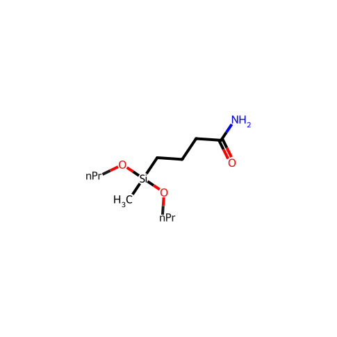 CCCO[Si](C)(CCCC(N)=O)OCCC